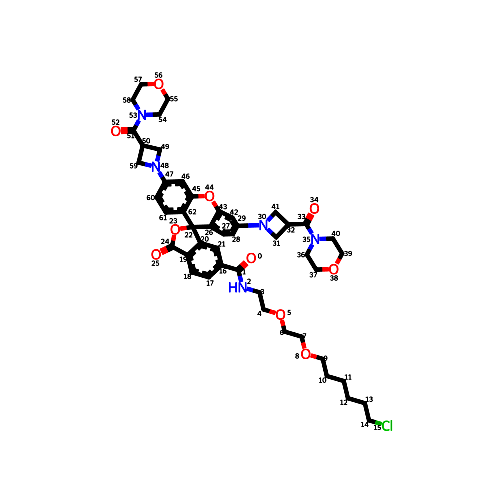 O=C(NCCOCCOCCCCCCCl)c1ccc2c(c1)C1(OC2=O)c2ccc(N3CC(C(=O)N4CCOCC4)C3)cc2Oc2cc(N3CC(C(=O)N4CCOCC4)C3)ccc21